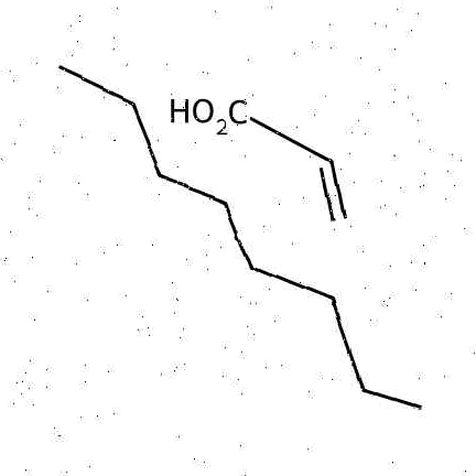 C=CC(=O)O.CCCCCCCC